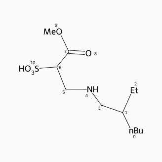 CCCCC(CC)CNCC(C(=O)OC)S(=O)(=O)O